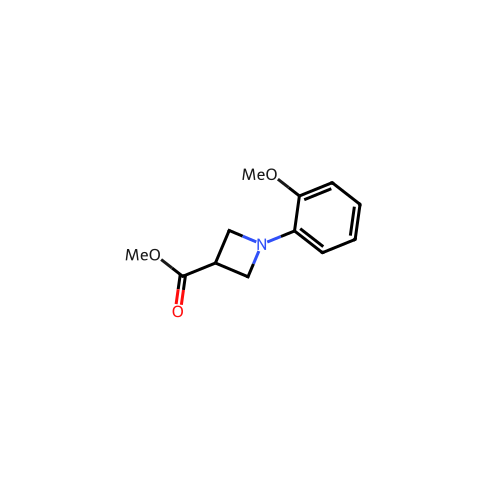 COC(=O)C1CN(c2ccccc2OC)C1